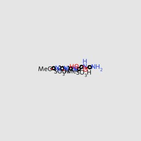 COc1ccc(N=Nc2cc(OC)c(N=Nc3cc(C)c(N=Nc4c(S(=O)(=O)O)cc5cc(NC(=O)c6ccc(N)cc6)ccc5c4O)cc3C)cc2C)c(S(=O)(=O)O)c1